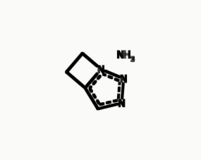 N.c1nnn2c1CC2